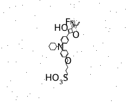 C=C[C@H](C1C(=O)C(c2ccc(N(c3ccc(OCCCCS(=O)(=O)O)cc3)C3CCCCC3)cc2)=C1O)[C@@H](C)F